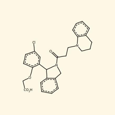 O=C(O)COc1ccc(Cl)cc1C1c2ccccc2CN1C(=O)CCN1CCCc2ccccc21